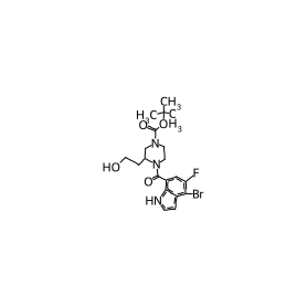 CC(C)(C)OC(=O)N1CCN(C(=O)c2cc(F)c(Br)c3cc[nH]c23)C(CCO)C1